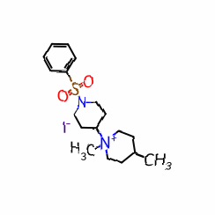 CC1CC[N+](C)(C2CCN(S(=O)(=O)c3ccccc3)CC2)CC1.[I-]